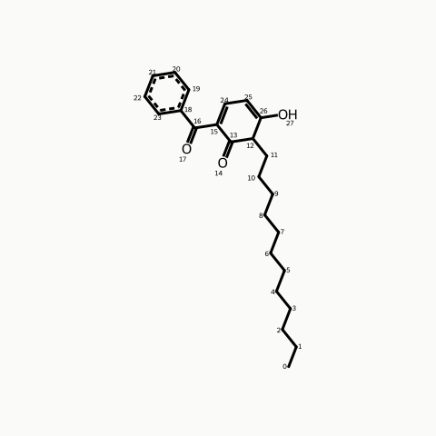 CCCCCCCCCCCCC1C(=O)C(C(=O)c2ccccc2)=CC=C1O